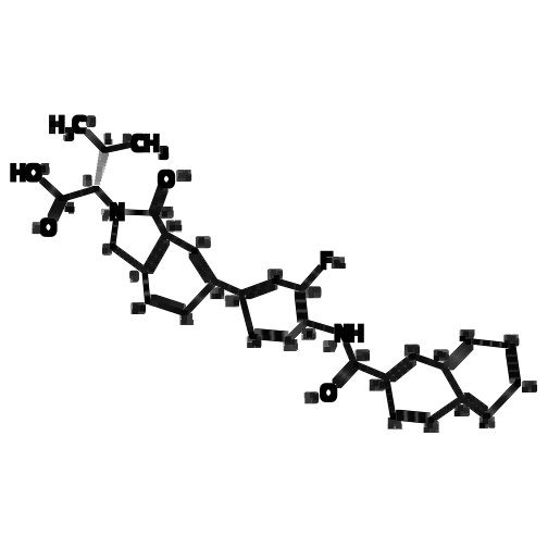 CC(C)[C@@H](C(=O)O)N1Cc2ccc(-c3ccc(NC(=O)c4ccc5ccccc5c4)c(F)c3)cc2C1=O